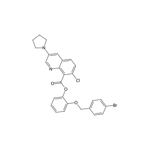 O=C(Oc1ccccc1OCc1ccc(Br)cc1)c1c(Cl)ccc2cc(N3CCCC3)cnc12